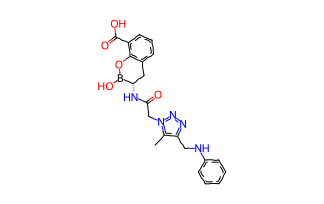 Cc1c(CNc2ccccc2)nnn1CC(=O)N[C@H]1Cc2cccc(C(=O)O)c2OB1O